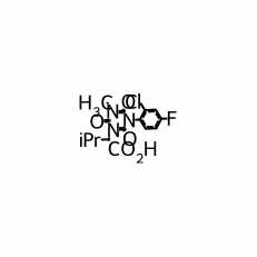 CC(C)C(C(=O)O)n1c(=O)n(C)c(=O)n(-c2ccc(F)cc2Cl)c1=O